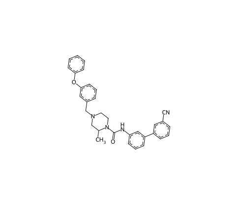 CC1CN(Cc2cccc(Oc3ccccc3)c2)CCN1C(=O)Nc1cccc(-c2cccc(C#N)c2)c1